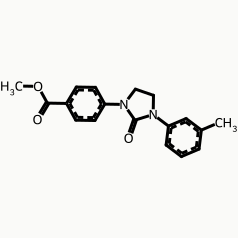 COC(=O)c1ccc(N2CCN(c3cccc(C)c3)C2=O)cc1